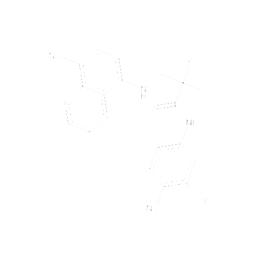 CC(O)(CNc1ccc(C#N)c2ccccc12)C(=O)Nc1ccc(C#N)c(C(F)(F)F)c1